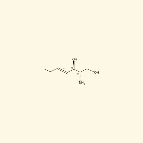 CC/C=C/[C@@H](O)[C@@H](N)CO